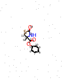 CC1(C(=O)Oc2ccccc2)CSC(=O)N1